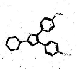 COc1ccc(-c2cc(C3CCCCC3)sc2-c2ccc(OC)cc2)cc1